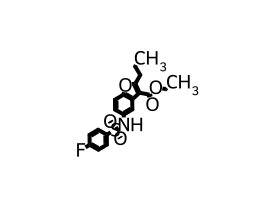 CCCc1oc2ccc(NS(=O)(=O)c3ccc(F)cc3)cc2c1C(=O)OCC